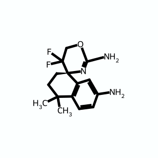 CC1(C)CC[C@@]2(N=C(N)OCC2(F)F)c2cc(N)ccc21